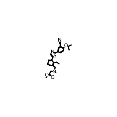 CCc1c(CN(C)CC(=O)OC)cccc1-c1cnc(-c2ccc(OC(C)C)c(C#N)c2)s1